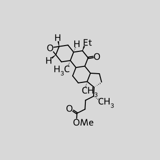 CC[C@H]1C(=O)C2C3CC[C@H]([C@H](C)CCC(=O)OC)[C@@]3(C)CCC2[C@@]2(C)C[C@@H]3O[C@@H]3C[C@@H]12